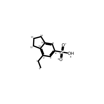 CCc1cc(S(=O)(=O)O)cc2c1CCC2